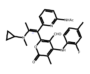 CC(=O)Nc1cccc(/C(=C(\C)N(C)C2CC2)c2oc(=O)c(C)c(Nc3ccc(C)cc3F)c2C=O)n1